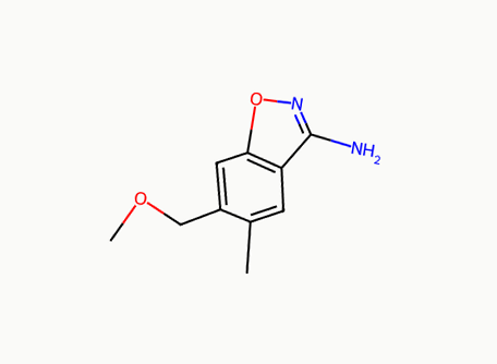 COCc1cc2onc(N)c2cc1C